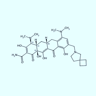 CN(C)c1cc(CN2CCC3(CCC3)C2)c(O)c2c1C[C@H]1C[C@H]3[C@H](N(C)C)C(O)=C(C(N)=O)C(=O)[C@@]3(O)C(O)=C1C2=O